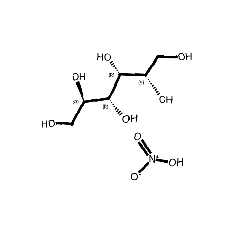 O=[N+]([O-])O.OC[C@@H](O)[C@@H](O)[C@H](O)[C@@H](O)CO